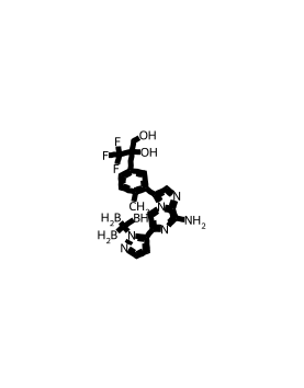 BC(B)(B)n1nccc1-c1cn2c(-c3cc(C(O)(CO)C(F)(F)F)ccc3C)cnc2c(N)n1